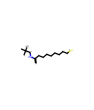 C=C(CCCCCCCCS)NCC(C)(C)CC